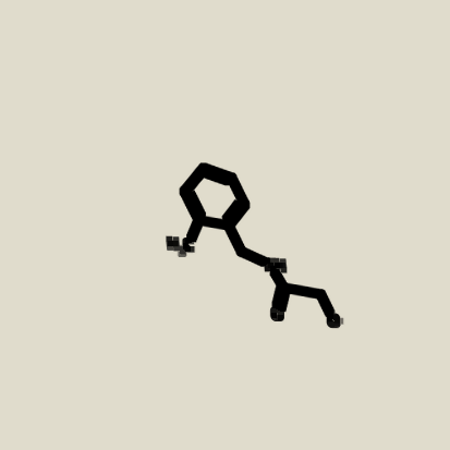 Cc1ccccc1CNC(=O)C[O]